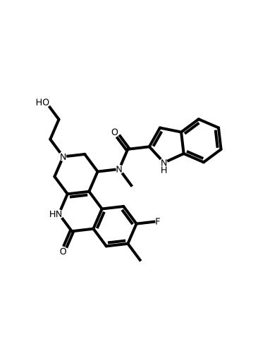 Cc1cc2c(=O)[nH]c3c(c2cc1F)C(N(C)C(=O)c1cc2ccccc2[nH]1)CN(CCO)C3